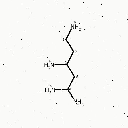 NCCC(N)CC(N)N